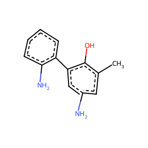 Cc1cc(N)cc(-c2ccccc2N)c1O